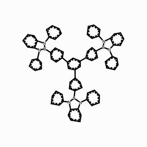 c1ccc(N2B(c3ccc(-c4cc(-c5ccc(B6N(c7ccccc7)c7ccccc7N6c6ccccc6)cc5)cc(-c5ccc(B6N(c7ccccc7)c7ccccc7N6c6ccccc6)cc5)c4)cc3)N(c3ccccc3)c3ccccc32)cc1